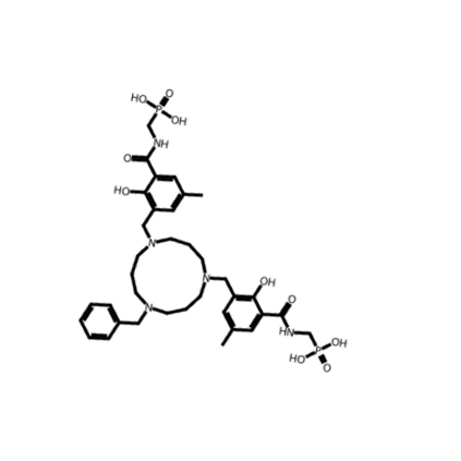 Cc1cc(CN2CCCN(Cc3ccccc3)CCCN(Cc3cc(C)cc(C(=O)NCP(=O)(O)O)c3O)CCC2)c(O)c(C(=O)NCP(=O)(O)O)c1